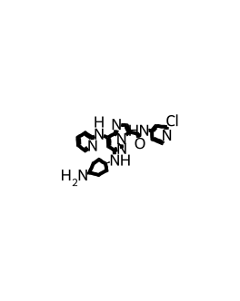 N[C@H]1CC[C@H](Nc2cc(Nc3ccccn3)c3ncc(C(=O)Nc4ccnc(Cl)c4)n3n2)CC1